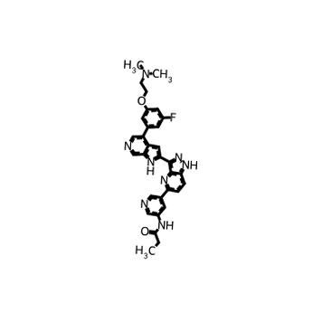 CCC(=O)Nc1cncc(-c2ccc3[nH]nc(-c4cc5c(-c6cc(F)cc(OCCN(C)C)c6)cncc5[nH]4)c3n2)c1